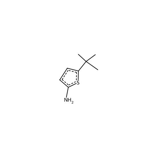 CC(C)(C)c1ccc(N)s1